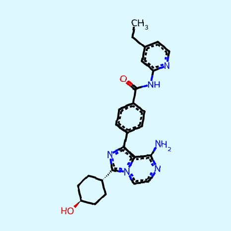 CCc1ccnc(NC(=O)c2ccc(-c3nc([C@H]4CC[C@H](O)CC4)n4ccnc(N)c34)cc2)c1